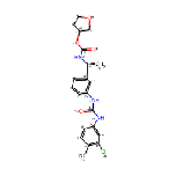 C[C@H](NC(=O)O[C@H]1CCOC1)c1cccc(NC(=O)Nc2ccc(C#N)c(Cl)c2)c1